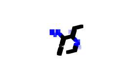 C=C=C(N)C(=C/C)/N=C\C